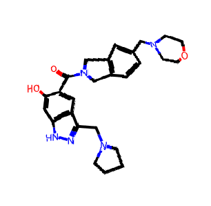 O=C(c1cc2c(CN3CCCC3)n[nH]c2cc1O)N1Cc2ccc(CN3CCOCC3)cc2C1